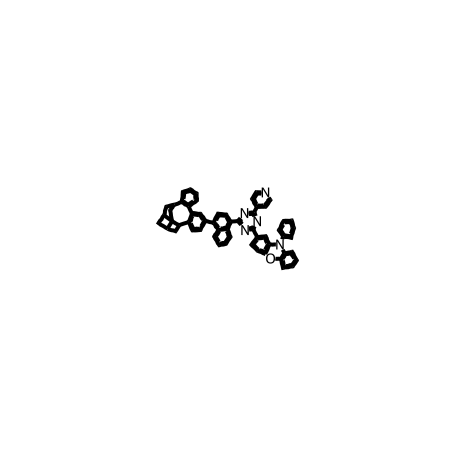 c1ccc(N2c3ccccc3Oc3ccc(-c4nc(-c5ccncc5)nc(-c5ccc(-c6ccc7c(c6)-c6ccccc6C6CC8CC9CC7C89C6)c6ccccc56)n4)cc32)cc1